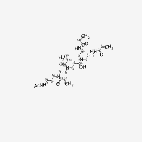 C=CC(=O)NCCCN(CCNC(=O)C=C)C(O)CCN(CCN(CCCNC(C)=O)C(=O)C=C)C(=O)C=C